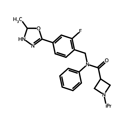 CC1NN=C(c2ccc(CN(C(=O)C3CN(C(C)C)C3)c3ccccc3)c(F)c2)O1